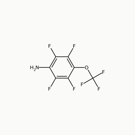 Nc1c(F)c(F)c(OC(F)(F)F)c(F)c1F